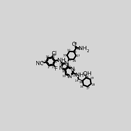 N#Cc1cc(F)c(Nc2nc3cnc(NC[C@@H]4CCCC[C@H]4O)nc3n2C2CCC(C(N)=O)CC2)c(Cl)c1